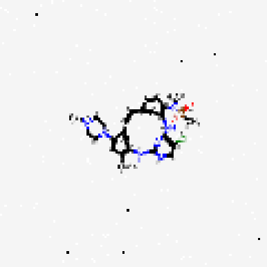 COc1cc(N2CCN(C)CC2)c2cc1Nc1ncc(Cl)c(n1)Nc1cc(ccc1N(C)S(C)(=O)=O)/C=C\2